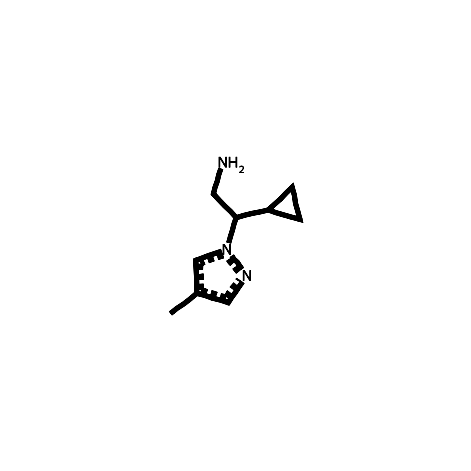 Cc1cnn(C(CN)C2CC2)c1